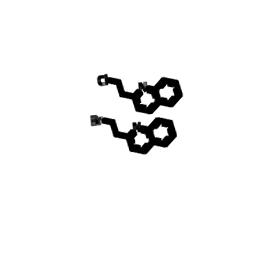 BrCCc1ccc2ccccc2n1.ClCCc1ccc2ccccc2n1